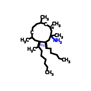 CCCCC/C=C1\CC(C)(N)C[C@@H](C)CC(C)CCCC(C)C\C1=C(/C)CCCCCC